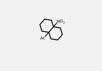 CC(=O)C12CCCCC1([N+](=O)[O-])CCCC2